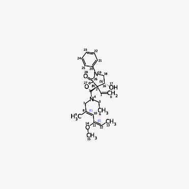 C=C[C@@]1(CN(CC)C/C(C)=C/C(=C\C)OC)[C@@H](O)CN(c2ccccc2)S1(=O)=O